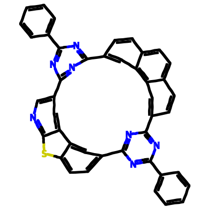 c1ccc(-c2nc3nc(n2)c2ccc4sc5ncc(cc5c4c2)c2nc(-c4ccccc4)nc(n2)c2ccc4ccc5ccc3cc5c4c2)cc1